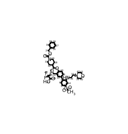 CS(=O)(=O)c1ccc(-c2ccc3c(c2)COC(C2CCN(C(=O)OCc4ccccc4)CC2)O3)c(NCCN2CCOCC2)c1.O=C(O)C(F)(F)F